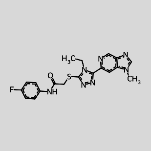 CCn1c(SCC(=O)Nc2ccc(F)cc2)nnc1-c1cc2c(cn1)ncn2C